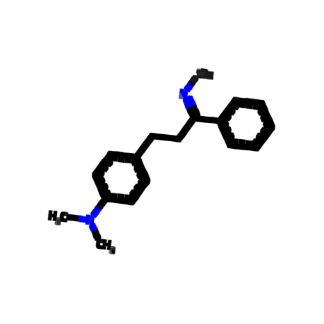 CN(C)c1ccc(CCC(=NC(C)(C)C)c2ccccc2)cc1